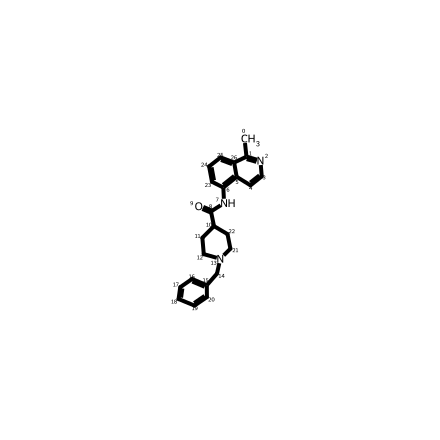 Cc1nccc2c(NC(=O)C3CCN(Cc4ccccc4)CC3)cccc12